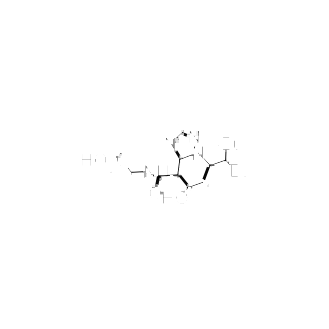 CCC(CC)c1cc(O)c(C(=O)NCC(=O)O)c2ncnn12